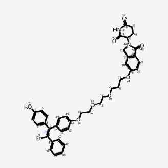 CC/C(=C(\c1ccc(O)cc1)c1ccc(OCCOCCOCCCOc2ccc3c(c2)CN(C2CCC(=O)NC2=O)C3=O)cc1)c1ccccc1